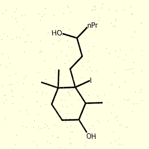 CCCC(O)CCC1(I)C(C)C(O)CCC1(C)C